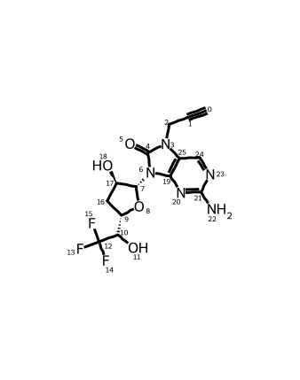 C#CCn1c(=O)n([C@@H]2O[C@H](C(O)C(F)(F)F)C[C@H]2O)c2nc(N)ncc21